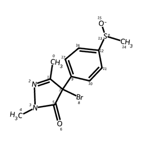 CC1=NN(C)C(=O)C1(Br)c1ccc([S+](C)[O-])cc1